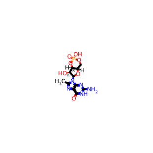 Cc1nc2c(=O)[nH]c(N)nc2n1C1O[C@@H]2COP(=O)(O)O[C@@H]2[C@@H]1O